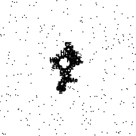 CC[C@H]1OC(=O)[C@H](C)[C@@H](O[C@H]2C[C@@](C)(OC)[C@](O)(CN3CCN(S(C)(=O)=O)CC3)[C@H](C)O2)[C@H](C)[C@@H](O[C@@H]2O[C@H](C)C[C@H](N(C)S(=O)(=O)Nc3ccc(C(F)(F)F)cc3)[C@H]2O)[C@](C)(O)C[C@@H](C)CN[C@H](C)[C@@H](O)[C@]1(C)O